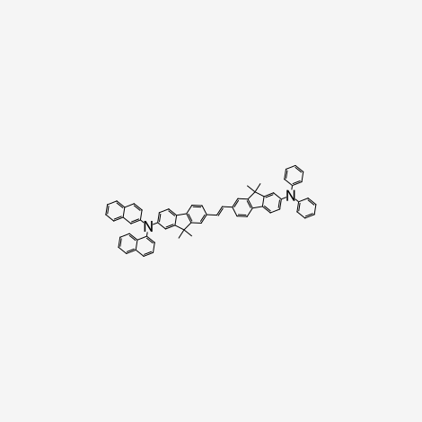 CC1(C)c2cc(/C=C/c3ccc4c(c3)C(C)(C)c3cc(N(c5ccc6ccccc6c5)c5cccc6ccccc56)ccc3-4)ccc2-c2ccc(N(c3ccccc3)c3ccccc3)cc21